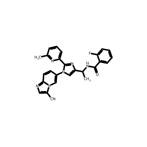 Cc1cccc(-c2nc(C(C)NC(=O)c3ccccc3F)cn2-c2ccc3ncc(C#N)n3c2)n1